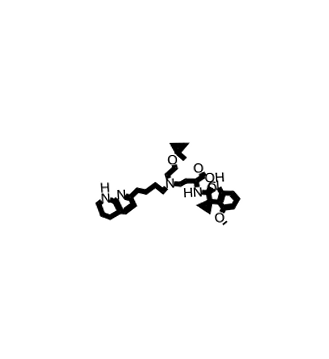 COc1cccc(Cl)c1C1(C(=O)NC(CCN(CCCCc2ccc3c(n2)NCCC3)CCOC2(C)CC2)C(=O)O)CC1